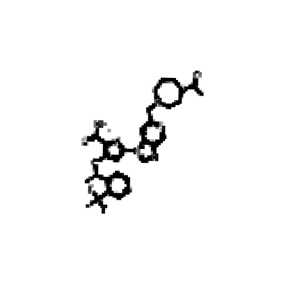 CC(=O)N1CCCN(Cc2cc3c(cn2)ncn3-c2cc(O[C@H](C)c3ccccc3C(F)(F)F)c(C(N)=O)s2)CC1